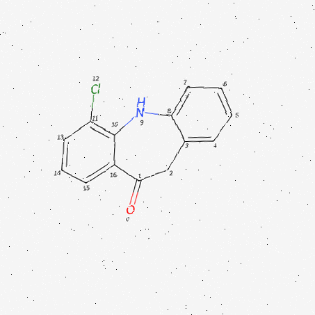 O=C1Cc2ccccc2Nc2c(Cl)cccc21